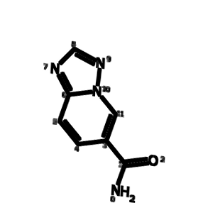 NC(=O)c1ccc2ncnn2c1